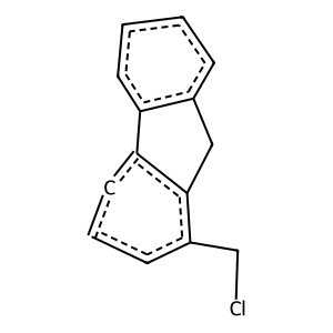 ClCc1cccc2c1Cc1ccccc1-2